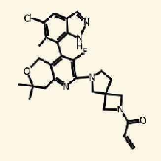 C=CC(=O)N1CC2(CCN(c3nc4c(c(-c5c(C)c(Cl)cc6cn[nH]c56)c3F)COC(C)(C)C4)C2)C1